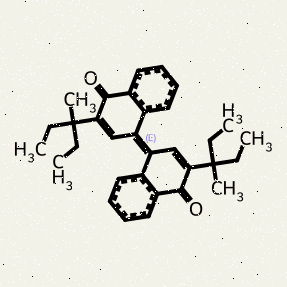 CCC(C)(CC)C1=C/C(=C2/C=C(C(C)(CC)CC)C(=O)c3ccccc32)c2ccccc2C1=O